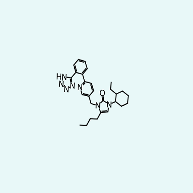 CCCCc1cn(C2CCCCC2CC)c(=O)n1Cc1ccc(-c2ccccc2-c2nnn[nH]2)nc1